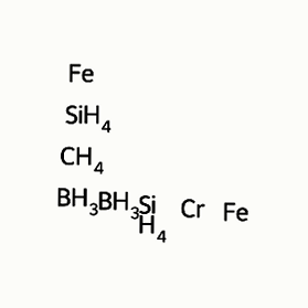 B.B.C.[Cr].[Fe].[Fe].[SiH4].[SiH4]